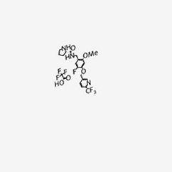 COc1cc(OCc2ccc(C(F)(F)F)nc2)c(F)cc1CNC(=O)[C@@H]1CCCN1.O=C(O)C(F)(F)F